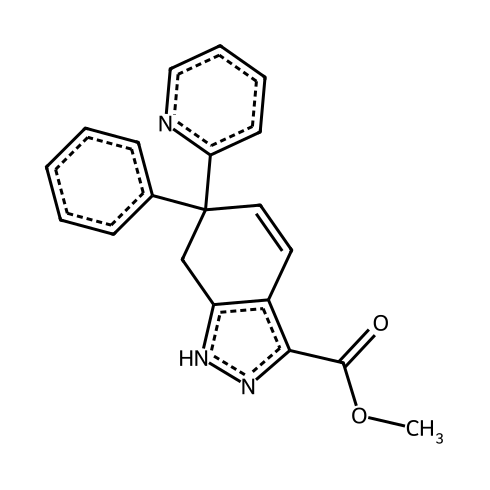 COC(=O)c1n[nH]c2c1C=CC(c1ccccc1)(c1ccccn1)C2